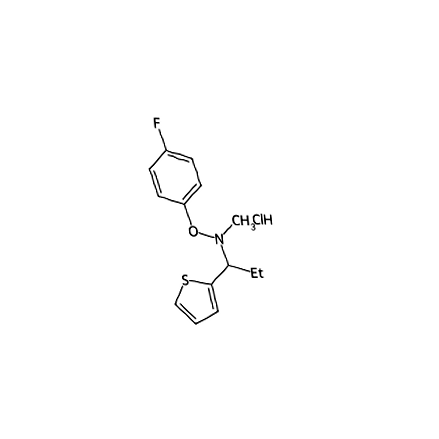 CCC(c1cccs1)N(C)Oc1ccc(F)cc1.Cl